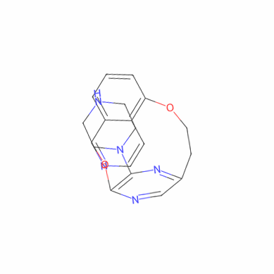 c1cc2c3ccnc(c3c1)Oc1ncc(nc1N1CCNCC1)CCO2